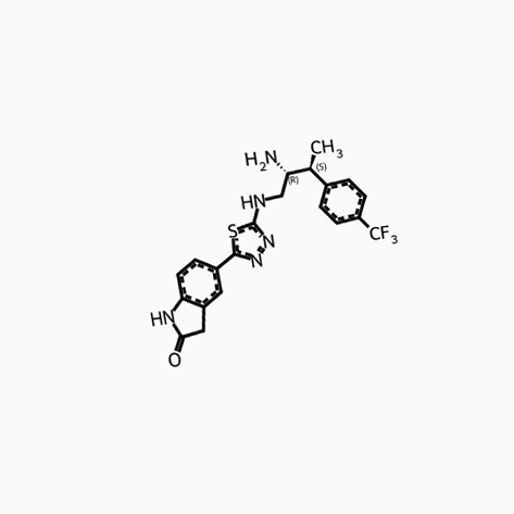 C[C@@H](c1ccc(C(F)(F)F)cc1)[C@@H](N)CNc1nnc(-c2ccc3c(c2)CC(=O)N3)s1